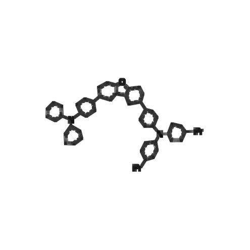 CC(C)c1ccc(N(c2ccc(-c3ccc4oc5ccc(-c6ccc(N(c7ccccc7)c7ccccc7)cc6)cc5c4c3)cc2)c2ccc(C(C)C)cc2)cc1